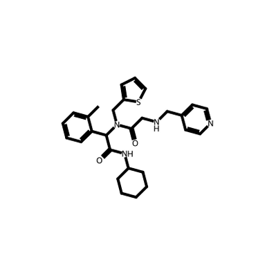 Cc1ccccc1C(C(=O)NC1CCCCC1)N(Cc1cccs1)C(=O)CNCc1ccncc1